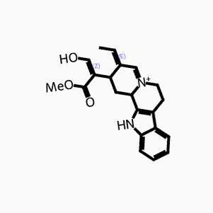 C/C=C1/C=[N+]2CCc3c([nH]c4ccccc34)C2CC1/C(=C/O)C(=O)OC